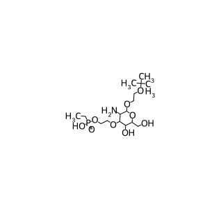 CCP(=O)(O)OCCOC1C(N)C(OCCOC(C)(C)C)OC(CO)C1O